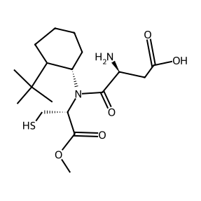 COC(=O)[C@H](CS)N(C(=O)[C@@H](N)CC(=O)O)[C@H]1CCCCC1C(C)(C)C